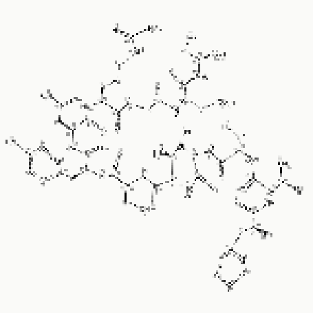 C[C@@H](O)[C@H](NC(=O)[C@H](CO)NC(=O)[C@H](CO)NC(=O)[C@@H](NC(=O)[C@@H](N)Cc1ccccc1)[C@@H](C)O)C(=O)N[C@@H](CO)C(=O)N[C@@H](Cc1ccc(O)cc1)C(=O)N[C@@H](CC(N)=O)C(=O)N[C@@H](CCCNC(=N)N)C(=O)NCC(=O)N[C@@H](CC(=O)O)C(=O)N[C@@H](CO)C(=O)O